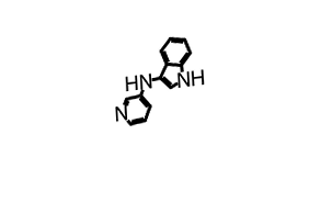 c1cncc(Nc2c[nH]c3ccccc23)c1